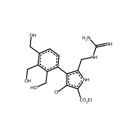 CCOC(=O)c1[nH]c(CNC(=N)N)c(-c2ccc(CO)c(CO)c2CO)c1Cl